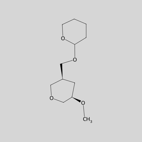 CO[C@H]1COC[C@@H](COC2CCCCO2)C1